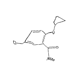 CNC(=O)c1cc(Cl)ccc1OC1CC1